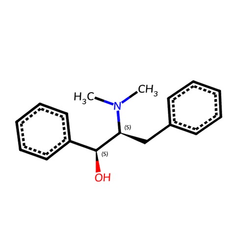 CN(C)[C@@H](Cc1ccccc1)[C@@H](O)c1ccccc1